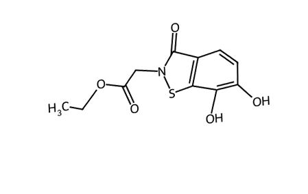 CCOC(=O)Cn1sc2c(O)c(O)ccc2c1=O